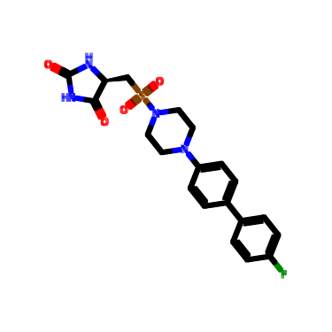 O=C1NC(=O)[C@H](CS(=O)(=O)N2CCN(c3ccc(-c4ccc(F)cc4)cc3)CC2)N1